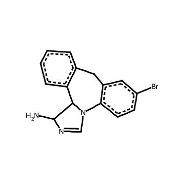 NC1N=CN2c3ccc(Br)cc3Cc3ccccc3C12